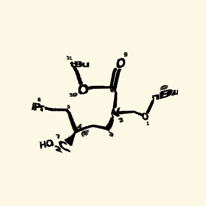 CCCCON(C[C@H](CC(C)C)C(=O)O)C(=O)OC(C)(C)C